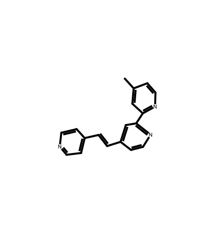 Cc1ccnc(-c2cc(C=Cc3ccncc3)ccn2)c1